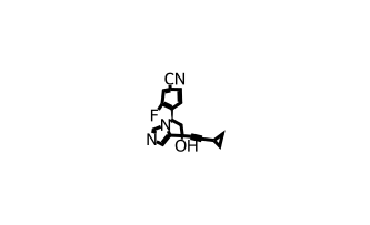 N#Cc1ccc([C@H]2C[C@](O)(C#CC3CC3)c3cncn32)c(F)c1